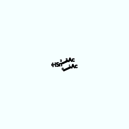 CC(C)=O.C[C](=O)[SnH]